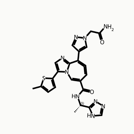 Cc1ccc(-c2cnc3n2C=C(C(=O)N[C@@H](C)c2nnc[nH]2)C=C=C3c2cnn(CC(N)=O)c2)s1